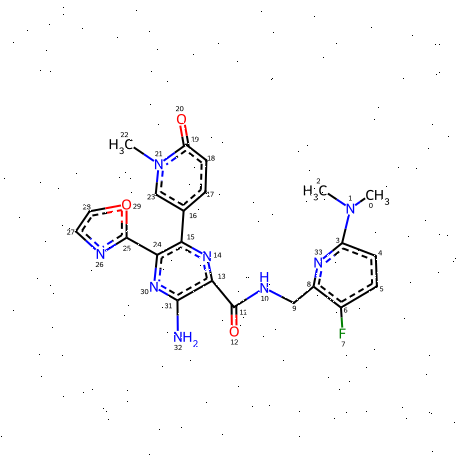 CN(C)c1ccc(F)c(CNC(=O)c2nc(-c3ccc(=O)n(C)c3)c(-c3ncco3)nc2N)n1